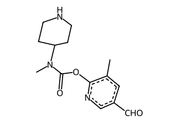 Cc1cc(C=O)cnc1OC(=O)N(C)C1CCNCC1